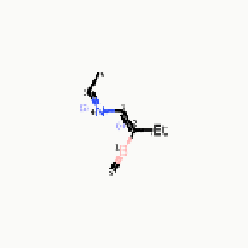 C=B/C(=C\N=C/C)CC